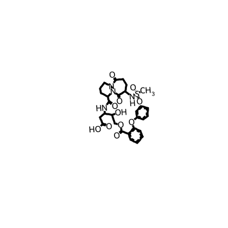 CS(=O)(=O)NC1CCC(=O)N2CCCC(C(=O)NC(CC(=O)O)C(O)COC(=O)c3ccccc3Oc3ccccc3)N2C1=O